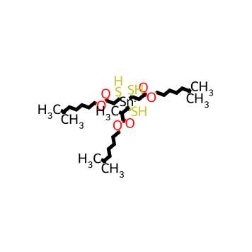 CC(C)CCCCCOC(=O)C[CH](S)[Sn]([CH](S)CC(=O)OCCCCCC(C)C)[CH](S)C(C)C(=O)OCCCCCC(C)C